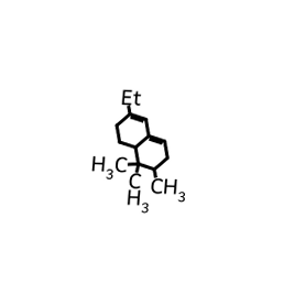 CCC1=CC2=CCC(C)C(C)(C)C2CC1